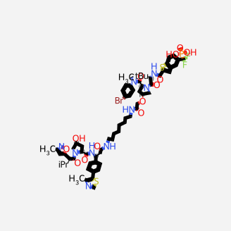 Cc1cc([C@H](C(=O)N2C[C@H](O)C[C@H]2C(=O)N[C@@H](CC(=O)NCCCCCCCCNC(=O)CO[C@@H]2C[C@@H](C(=O)N(C)c3ccc(Br)cc3)N(C(=O)[C@@H](NC(=O)c3cc4cc(C(F)(F)P(=O)(O)O)ccc4s3)C(C)(C)C)C2)c2ccc(-c3scnc3C)cc2)C(C)C)on1